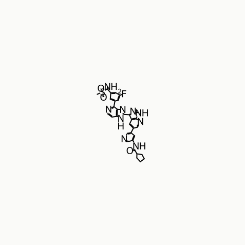 CS(=O)(=O)C(N)c1cc(F)cc(-c2nccc3[nH]c(-c4n[nH]c5ncc(-c6cncc(NC(=O)C7CCCC7)c6)cc45)nc23)c1